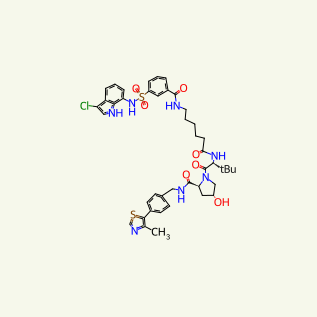 Cc1ncsc1-c1ccc(CNC(=O)[C@@H]2C[C@@H](O)CN2C(=O)[C@@H](NC(=O)CCCCCNC(=O)c2cccc(S(=O)(=O)Nc3cccc4c(Cl)c[nH]c34)c2)C(C)(C)C)cc1